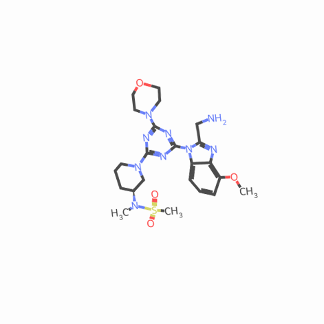 COc1cccc2c1nc(CN)n2-c1nc(N2CCOCC2)nc(N2CCC[C@H](N(C)S(C)(=O)=O)C2)n1